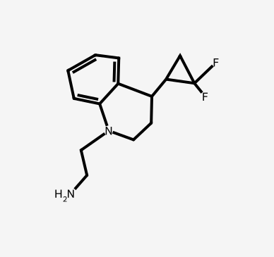 NCCN1CCC(C2CC2(F)F)c2ccccc21